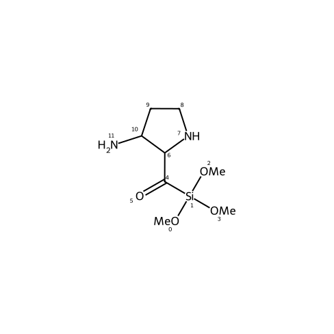 CO[Si](OC)(OC)C(=O)C1NCCC1N